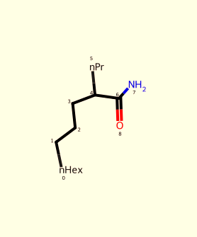 CCCCCCCCCC(CCC)C(N)=O